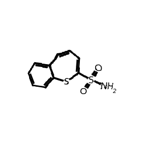 NS(=O)(=O)C1=CC=Cc2ccccc2S1